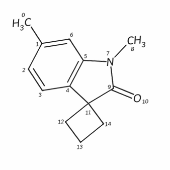 Cc1ccc2c(c1)N(C)C(=O)C21CCC1